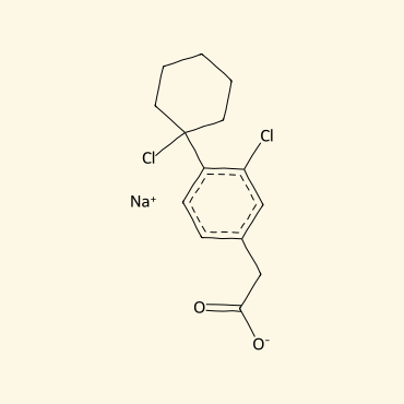 O=C([O-])Cc1ccc(C2(Cl)CCCCC2)c(Cl)c1.[Na+]